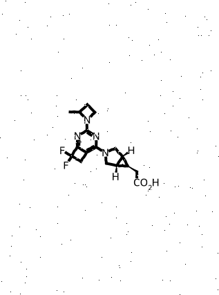 CC1CCN1c1nc(N2C[C@@H]3[C@@H](CC(=O)O)[C@@H]3C2)c2c(n1)C(F)(F)C2